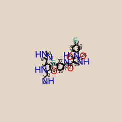 N=C/C=C1\NC=C(c2c[nH]cn2)C=C1Oc1ccc(NC(=O)c2c[nH]c(=O)n(-c3ccc(F)cc3)c2=O)cc1F